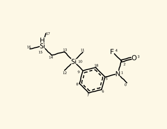 CN(C(=O)F)c1cccc([Si](C)(C)CC[SiH](C)C)c1